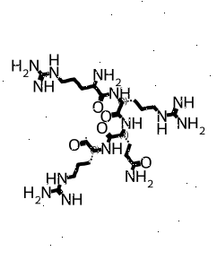 N=C(N)NCCCC(N)C(=O)N[C@H](CCCNC(=N)N)C(=O)N[C@H](CCC(N)=O)C(=O)N[C@@H]([C]=O)CCCNC(=N)N